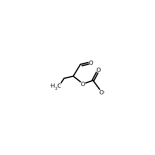 [CH2]CC(C=O)OC([O])=O